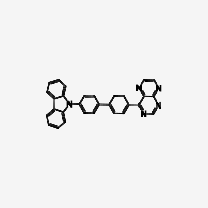 C1=C(c2ccc(-n3c4ccccc4c4ccccc43)cc2)CCC(c2ncnc3nccnc23)=C1